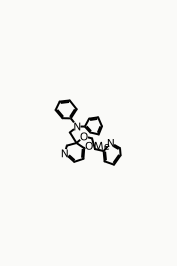 COC1=CC=NCC1(CN(c1ccccc1)c1ccccc1)OCCc1ccccn1